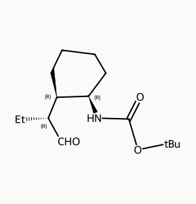 CC[C@@H](C=O)[C@H]1CCCC[C@H]1NC(=O)OC(C)(C)C